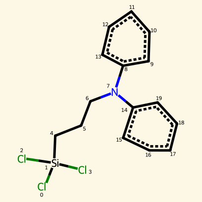 Cl[Si](Cl)(Cl)CCCN(c1ccccc1)c1ccccc1